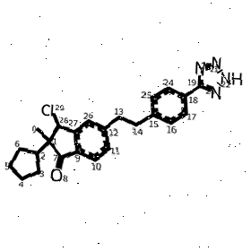 CC1(C2CCCC2)C(=O)c2ccc(CCc3ccc(-c4nn[nH]n4)cc3)cc2C1Cl